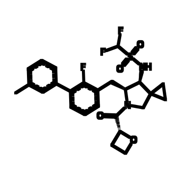 Cc1cccc(-c2cccc(C[C@H]3[C@@H](NS(=O)(=O)C(F)F)C4(CC4)CN3C(=O)[C@H]3CCO3)c2F)c1